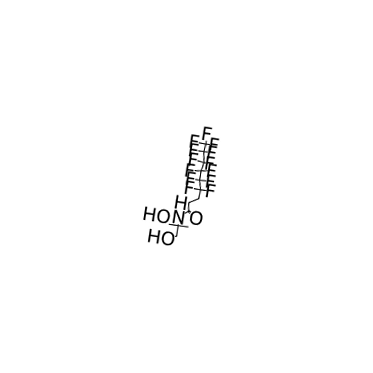 CC(CO)(CO)NC(=O)CCC(F)(F)C(F)(F)C(F)(F)C(F)(F)C(F)(F)C(F)(F)F